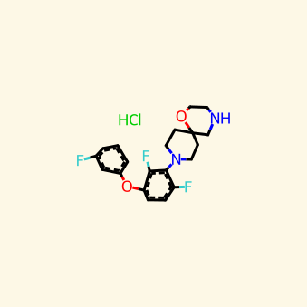 Cl.Fc1cccc(Oc2ccc(F)c(N3CCC4(CC3)CNCCO4)c2F)c1